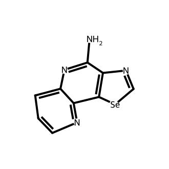 Nc1nc2cccnc2c2[se]cnc12